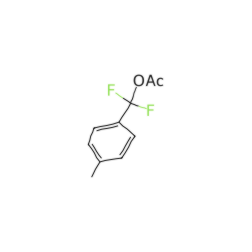 CC(=O)OC(F)(F)c1ccc(C)cc1